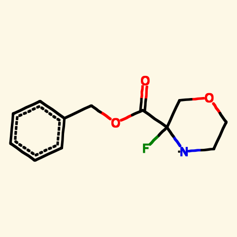 O=C(OCc1ccccc1)C1(F)COCC[N]1